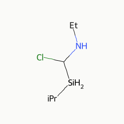 CCNC(Cl)[SiH2]C(C)C